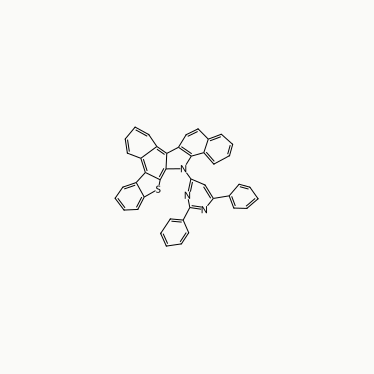 c1ccc(-c2cc(-n3c4c5ccccc5ccc4c4c5ccccc5c5c6ccccc6sc5c43)nc(-c3ccccc3)n2)cc1